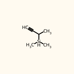 C#CC(C)[SiH](C)C